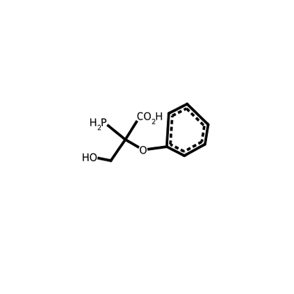 O=C(O)C(P)(CO)Oc1ccccc1